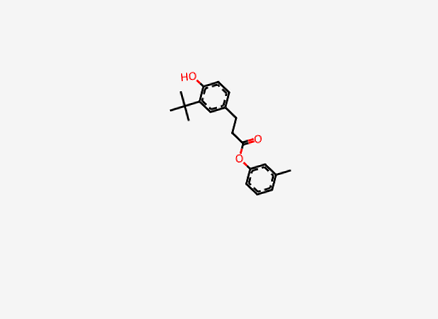 Cc1cccc(OC(=O)CCc2ccc(O)c(C(C)(C)C)c2)c1